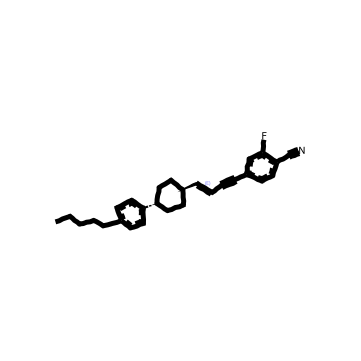 CCCCCc1ccc([C@H]2CC[C@H](/C=C/C#Cc3ccc(C#N)c(F)c3)CC2)cc1